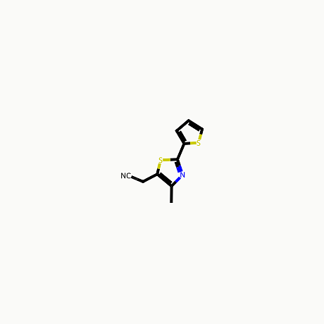 Cc1nc(-c2cccs2)sc1CC#N